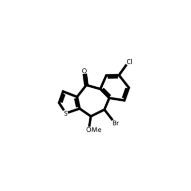 COC1c2sccc2C(=O)c2cc(Cl)ccc2C1Br